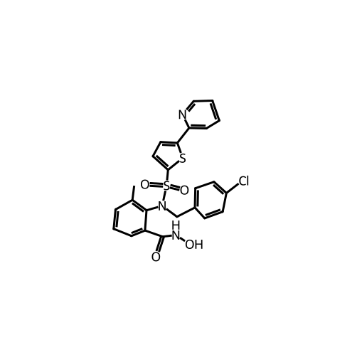 Cc1cccc(C(=O)NO)c1N(Cc1ccc(Cl)cc1)S(=O)(=O)c1ccc(-c2ccccn2)s1